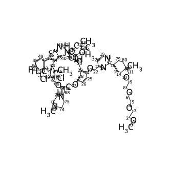 COCCOCCOCCOC[C@@]1(C)CC=C(c2nccc(COc3ccc4cc3C[C@H](C(=O)OC(C)(C)C)Oc3ncnc5sc(-c6ccc(F)cc6)c(c35)-c3c(C)c(Cl)c(c(Cl)c3C)O[C@H](CN3CCN(C)CC3)CO4)n2)CC1